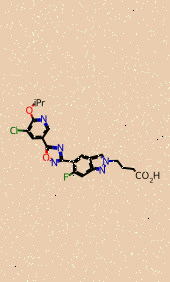 CC(C)Oc1ncc(-c2nc(-c3cc4cn(CCCC(=O)O)nc4cc3F)no2)cc1Cl